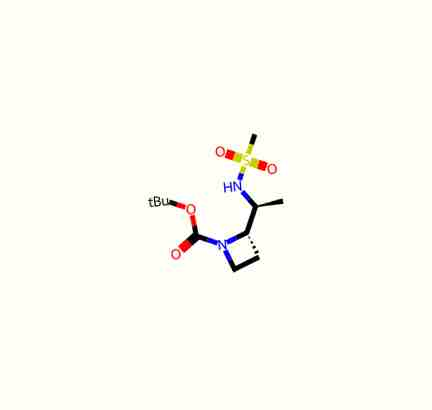 C[C@H](NS(C)(=O)=O)[C@@H]1CCN1C(=O)OC(C)(C)C